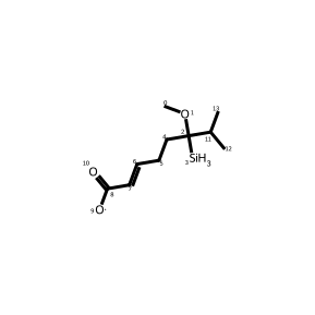 COC([SiH3])(CCC=CC([O])=O)C(C)C